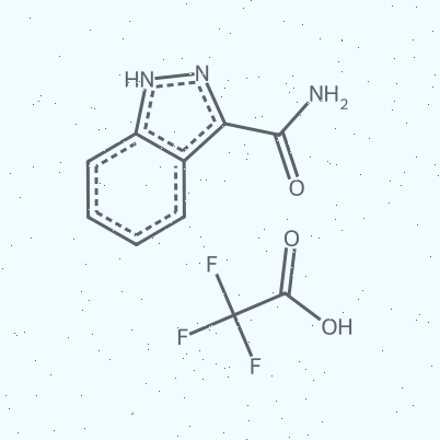 NC(=O)c1n[nH]c2ccccc12.O=C(O)C(F)(F)F